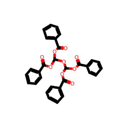 O=C(OC(OC(=O)c1ccccc1)OC(OC(=O)c1ccccc1)OC(=O)c1ccccc1)c1ccccc1